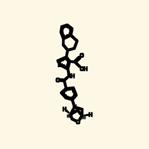 O=C(Nc1scc(C2CCc3ccccc3C2)c1C(=O)O)c1ccc(N2C[C@@H]3C[C@H]2CO3)cc1